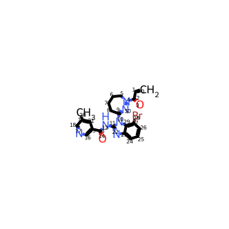 C=CC(=O)N1CCCCC(n2c(NC(=O)c3cncc(C)c3)nc3cccc(Br)c32)=N1